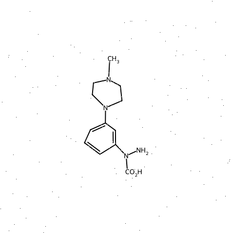 CN1CCN(c2cccc(N(N)C(=O)O)c2)CC1